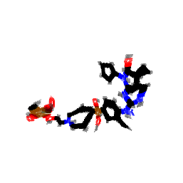 Cc1cc(S(=O)(=O)C2CCN(CCOS(C)(=O)=O)CC2)ccc1Nc1ncc2c(n1)N(C1CCCC1)C(=O)C21CC1